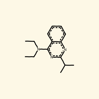 CCN(CC)c1nc(C(C)C)nc2ccccc12